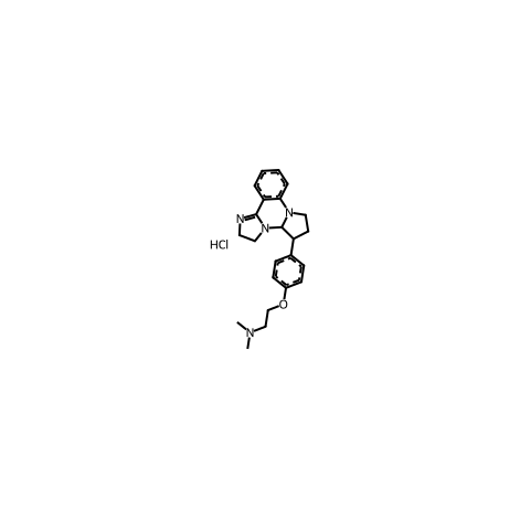 CN(C)CCOc1ccc(C2CCN3c4ccccc4C4=NCCN4C23)cc1.Cl